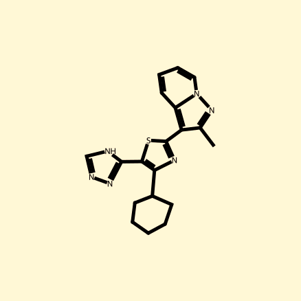 Cc1nn2ccccc2c1-c1nc(C2CCCCC2)c(-c2nnc[nH]2)s1